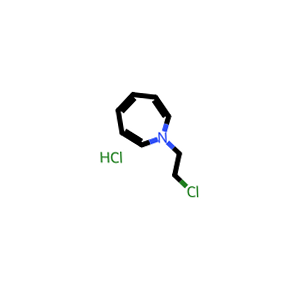 Cl.ClCCN1C=CC=CC=C1